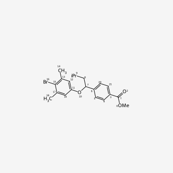 COC(=O)c1ccc(C(CC(C)C)Oc2cc(C)c(Br)c(C)c2)cc1